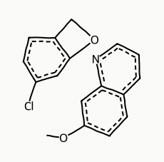 COc1ccc2cccnc2c1.Clc1ccc2c(c1)OC2